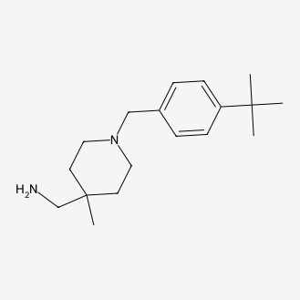 CC1(CN)CCN(Cc2ccc(C(C)(C)C)cc2)CC1